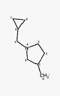 [CH2]C1CCN(CC2CC2)C1